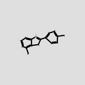 Cc1ccc(C2=Nc3cccc(C)c3C2)cc1